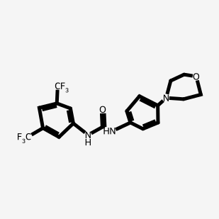 O=C(Nc1ccc(N2CCOCC2)cc1)Nc1cc(C(F)(F)F)cc(C(F)(F)F)c1